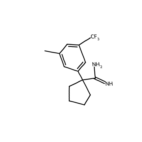 Cc1cc(C(F)(F)F)cc(C2(C(=N)N)CCCC2)c1